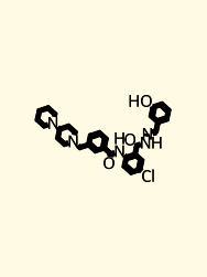 O=C(Nc1ccc(Cl)cc1C(=O)N/N=C/c1cccc(O)c1)c1cccc(CN2CCC(N3CCCCC3)CC2)c1